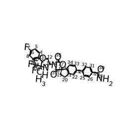 C[C@@](Cc1ccc(F)cc1)(NC(C=O)N1C(=O)O[C@@]2(CCc3cc(-c4ccc(C(N)=O)cc4)ccc32)C1=O)C(F)(F)F